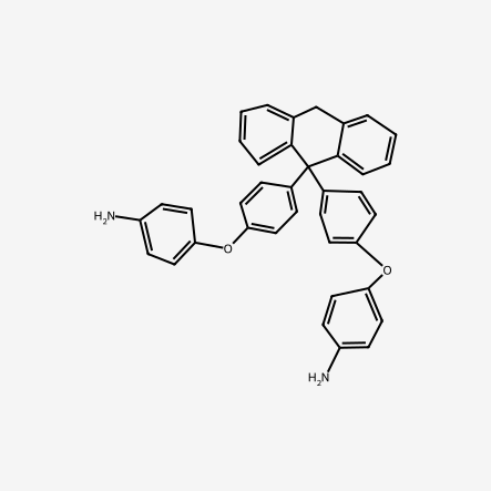 Nc1ccc(Oc2ccc(C3(c4ccc(Oc5ccc(N)cc5)cc4)c4ccccc4Cc4ccccc43)cc2)cc1